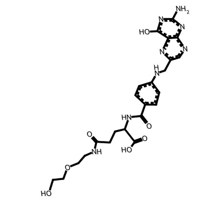 Nc1nc(O)c2nc(CNc3ccc(C(=O)NC(CCC(=O)NCCOCCO)C(=O)O)cc3)cnc2n1